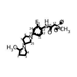 CC1CCCN1C1CCN(c2ccc(NC(=O)CS(C)(=O)=O)c(F)c2)C1